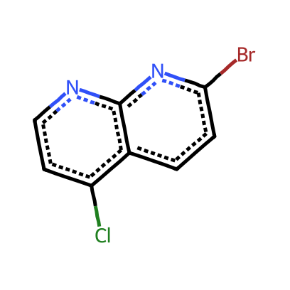 Clc1ccnc2nc(Br)ccc12